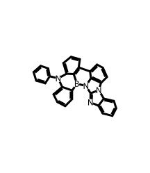 c1ccc(N2c3ccccc3B3c4c(cccc42)-c2cccc4c2n3c2nc3ccccc3n42)cc1